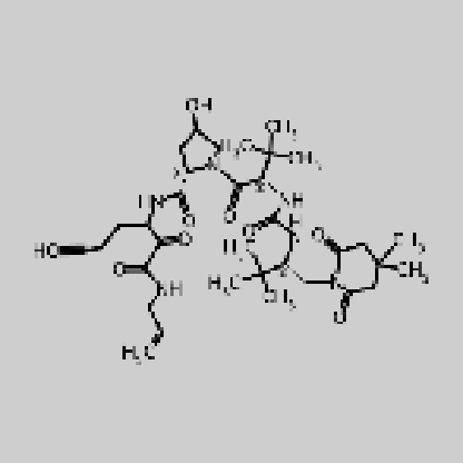 C#CCCC(NC(=O)[C@@H]1CC(O)CN1C(=O)[C@@H](NC(=O)N[C@H](CN1C(=O)CC(C)(C)CC1=O)C(C)(C)C)C(C)(C)C)C(=O)C(=O)NCC=C